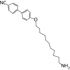 N#Cc1ccc(-c2ccc(OCCCCCCCCCCCN)cc2)cc1